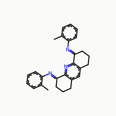 Cc1ccccc1N=C1CCCc2cc3c(nc21)C(=Nc1ccccc1C)CCC3